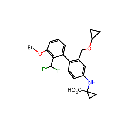 CCOc1cccc(-c2ccc(NC3(C(=O)O)CC3)cc2COC2CC2)c1C(F)F